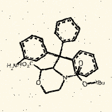 CC(C)(C)OC(=O)N1CCOC(C(=O)O)C1C(c1ccccc1)(c1ccccc1)c1cccc(N)c1